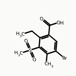 CCc1c(C(=O)O)cc(Br)c(C)c1S(C)(=O)=O